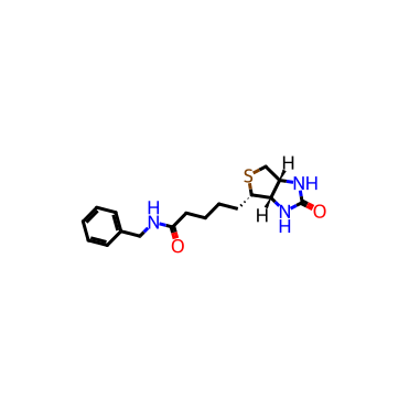 O=C(CCCC[C@@H]1SC[C@@H]2NC(=O)N[C@@H]21)NCc1ccccc1